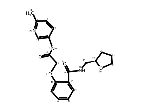 Cc1ccc(NC(=O)COc2ccccc2C(=O)NC[C@H]2CCCO2)cn1